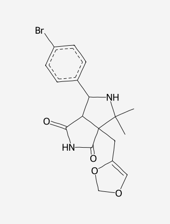 CC1(C)NC(c2ccc(Br)cc2)C2C(=O)NC(=O)C21CC1=COCO1